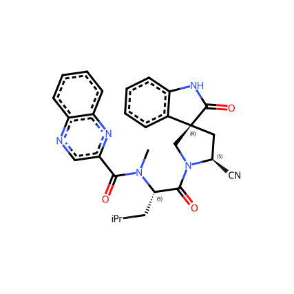 CC(C)C[C@@H](C(=O)N1C[C@]2(C[C@H]1C#N)C(=O)Nc1ccccc12)N(C)C(=O)c1cnc2ccccc2n1